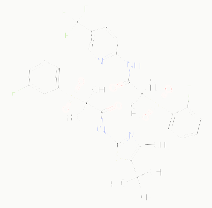 CC(C)(C(=O)Nc1ccc(C(F)(F)F)cn1)S(=O)(=O)c1ccccc1F.Cc1nc(NC(=O)C(C)(C)S(=O)(=O)c2cccc(F)c2)sc1C(C)(C)C